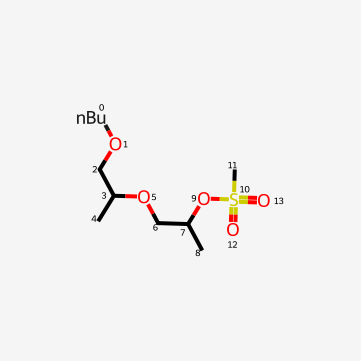 CCCCOCC(C)OCC(C)OS(C)(=O)=O